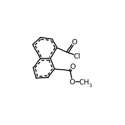 COC(=O)c1cccc2cccc(C(=O)Cl)c12